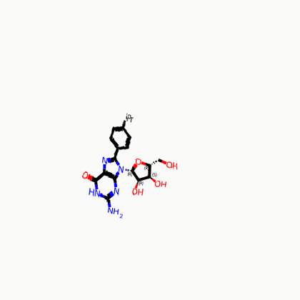 CC(C)c1ccc(-c2nc3c(=O)[nH]c(N)nc3n2[C@@H]2O[C@H](CO)[C@@H](O)[C@H]2O)cc1